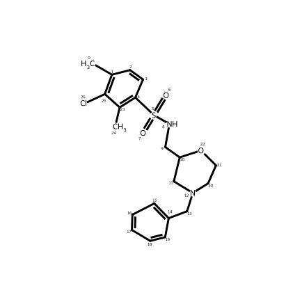 Cc1ccc(S(=O)(=O)NCC2CN(Cc3ccccc3)CCO2)c(C)c1Cl